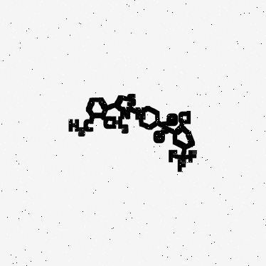 Cc1cccc(-c2csc(N3CCC(S(=O)(=O)c4cc(C(F)(F)F)ccc4Cl)CC3)n2)c1C